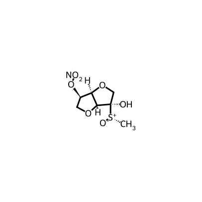 C[S@+]([O-])[C@]1(O)CO[C@@H]2[C@H](O[N+](=O)[O-])CO[C@@H]21